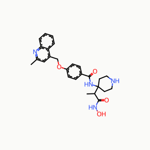 Cc1cc(COc2ccc(C(=O)NC3(C(C)C(=O)NO)CCNCC3)cc2)c2ccccc2n1